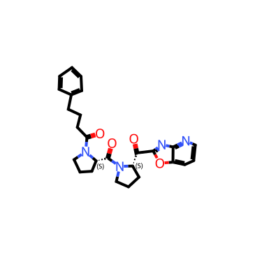 O=C(c1nc2ncccc2o1)[C@@H]1CCCN1C(=O)[C@@H]1CCCN1C(=O)CCCc1ccccc1